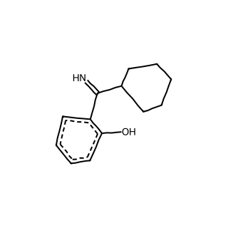 N=C(c1ccccc1O)C1CCCCC1